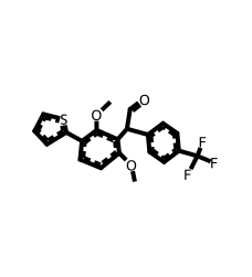 COc1ccc(-c2cccs2)c(OC)c1C(C=O)c1ccc(C(F)(F)F)cc1